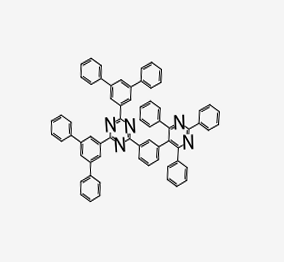 c1ccc(-c2cc(-c3ccccc3)cc(-c3nc(-c4cc(-c5ccccc5)cc(-c5ccccc5)c4)nc(-c4cccc(-c5c(-c6ccccc6)nc(-c6ccccc6)nc5-c5ccccc5)c4)n3)c2)cc1